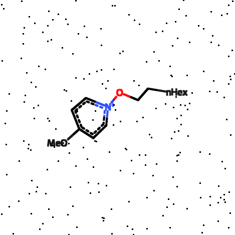 CCCCCCCCO[n+]1ccc(OC)cc1